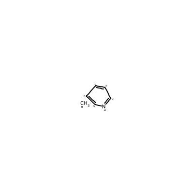 [CH3].c1ccncc1